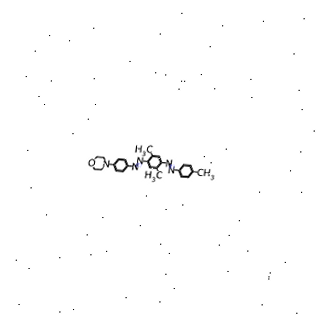 Cc1ccc(/N=N/c2cc(C)c(/N=N/c3ccc(N4CCOCC4)cc3)cc2C)cc1